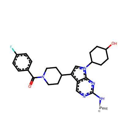 CCC[C@H](C)Nc1ncc2c(C3CCN(C(=O)c4ccc(F)cc4)CC3)cn(C3CCC(O)CC3)c2n1